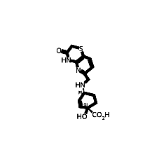 O=C1CSc2ccc(CN[C@H]3C=C[C@](O)(C(=O)O)CC3)nc2N1